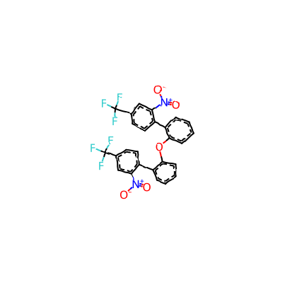 O=[N+]([O-])c1cc(C(F)(F)F)ccc1-c1ccccc1Oc1ccccc1-c1ccc(C(F)(F)F)cc1[N+](=O)[O-]